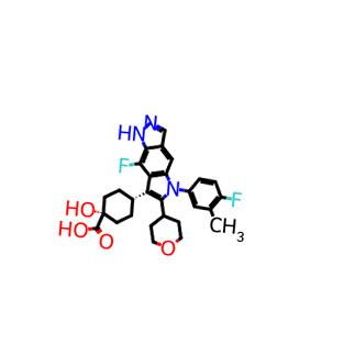 Cc1cc(-n2c(C3CCOCC3)c([C@H]3CC[C@](O)(C(=O)O)CC3)c3c(F)c4[nH]ncc4cc32)ccc1F